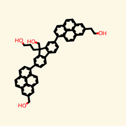 OCCCC1(CO)c2cc(-c3ccc4ccc5cc(CO)cc6ccc3c4c56)ccc2-c2ccc(-c3ccc4ccc5cc(CCO)cc6ccc3c4c56)cc21